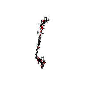 CNCCC(=O)Nc1cn(C)c(C(=O)Nc2cc(C(=O)NCCC(=O)NCCOCCOCCOCCOCCOCCOCCOCCOc3ccc(NC(=O)C[C@@H]4N=C(c5ccc(Cl)cc5)c5c(sc(C)c5C)NC4=N)cc3)n(C)c2)n1